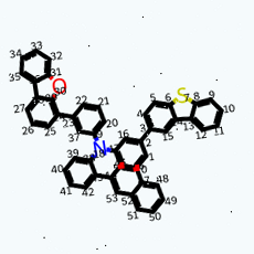 c1cc(-c2ccc3sc4ccccc4c3c2)cc(N(c2cccc(-c3cccc4c3oc3ccccc34)c2)c2ccccc2-c2ccc3ccccc3c2)c1